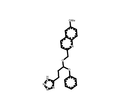 COc1ccc2nc(COC(CCc3nnn[nH]3)Oc3ccccc3)ccc2c1